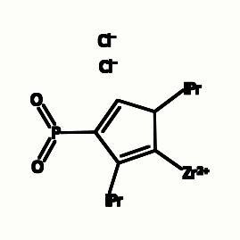 CC(C)C1=[C]([Zr+2])C(C(C)C)C=C1P(=O)=O.[Cl-].[Cl-]